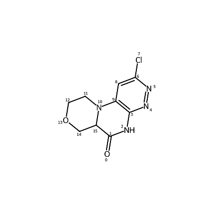 O=C1Nc2nnc(Cl)cc2N2CCOCC12